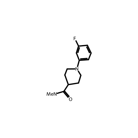 [CH2]NC(=O)C1CCN(c2cccc(F)c2)CC1